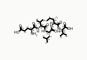 CC[C@H](C)[C@H](NC(=O)[C@H](CC(C)C)NC(=O)[C@@H](NC(=O)[C@@H](N)CCC(=O)O)C(C)C)C(=O)N[C@H](C(=O)O)C(C)C